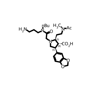 CCCCN(CCCN)C(=O)CN1C[C@H](c2ccc3c(c2)OCO3)[C@@H](C(=O)O)[C@@H]1CCN(C)C(C)=O